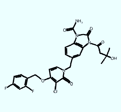 CC(C)(O)CC(=O)n1c(=O)n(C(N)=O)c2ccc(Cn3ccc(OCc4ccc(F)cc4F)c(Cl)c3=O)cc21